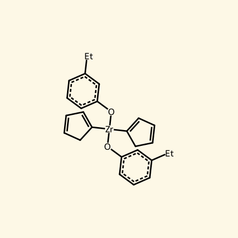 CCc1cccc([O][Zr]([O]c2cccc(CC)c2)([C]2=CC=CC2)[C]2=CC=CC2)c1